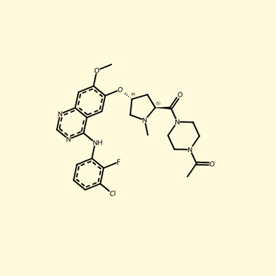 COc1cc2ncnc(Nc3cccc(Cl)c3F)c2cc1O[C@@H]1C[C@@H](C(=O)N2CCN(C(C)=O)CC2)N(C)C1